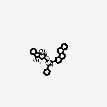 C=C/C(=C\C1=C(C)c2ccccc2C1(C)C)c1nc(-c2ccccc2)nc(-c2ccc3ccc4c5ccccc5ccc4c3c2)n1